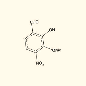 COc1c([N+](=O)[O-])ccc(C=O)c1O